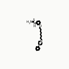 NC(=S)Nc1cccc(OCCCCCCCCN2CCN(c3ccccc3)CC2)c1